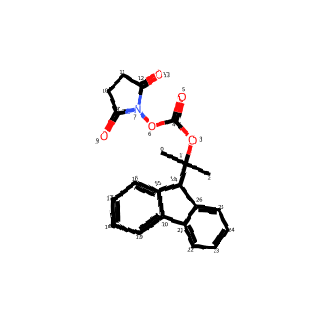 CC(C)(OC(=O)ON1C(=O)CCC1=O)C1c2ccccc2-c2ccccc21